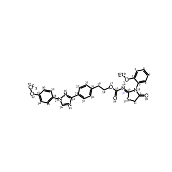 CCOc1ccccc1N1C(=O)CS/C1=N\C(=O)OCCc1ccc(-c2ncn(-c3ccc(OC(F)(F)F)cc3)n2)cc1